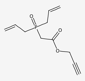 C#CCOC(=O)CP(=O)(CC=C)CC=C